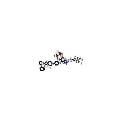 Cc1ccccc1[C@@H]1CCCN1C1CC2(CCN(c3ccc(C(=O)O)c(N4C[C@H]5COC[C@@H]5Oc5nc6c(ccn6COCC[Si](C)(C)C)cc54)c3)CC2)C1